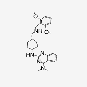 COc1cccc(OC)c1CNC[C@H]1CC[C@@H](Nc2nc(N(C)C)c3ccccc3n2)CC1